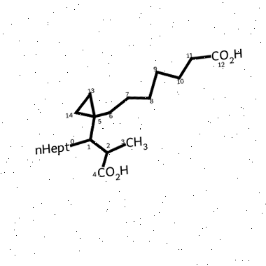 CCCCCCCC(C(C)C(=O)O)C1(CCCCCCC(=O)O)CC1